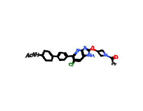 CC(=O)NC1CC=C(c2ccc(-c3nc4nc(OC5CN(C(=O)C(C)C)C5)[nH]c4cc3Cl)cc2)CC1